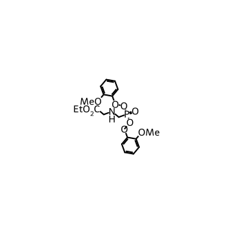 CCOC(=O)CNCP(=O)(OOc1ccccc1OC)OOc1ccccc1OC